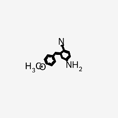 COc1ccc(C=C2CC(N)=CC=C2C#N)cc1